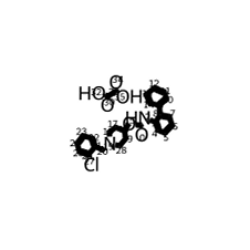 O=C(Nc1ccccc1-c1ccccc1)OC1CCN(Cc2ccccc2Cl)CC1.O=C(O)C(=O)O